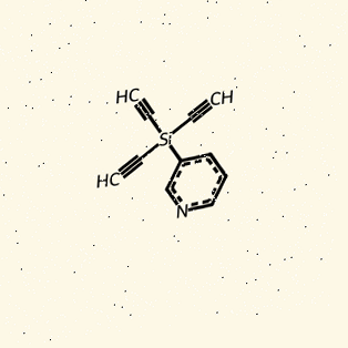 C#C[Si](C#C)(C#C)c1cccnc1